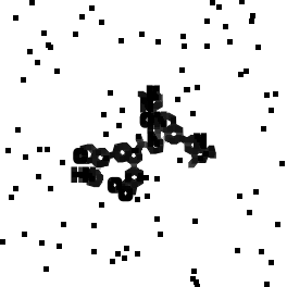 CC1=CC2(CC2)c2ncc(-c3cc4c(c([C@@H]5CCC([C@H](C)C6CC(c7ccc8c(c7)C(=O)OC8)c7cc(-c8cc9c(c([C@@H]%10CCCN%10)c8)COCC9)ccc76)N5)c3)CN(C(=O)c3ccnc(C)n3)CC4)cc21